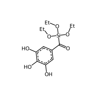 CCO[Si](OCC)(OCC)C(=O)c1cc(O)c(O)c(O)c1